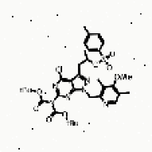 COc1c(C)cnc(Cn2nc(CC(C)OS(=O)(=O)c3ccc(C)cc3)c3c(Cl)nc(N(C(=O)OC(C)(C)C)C(=O)OC(C)(C)C)nc32)c1C